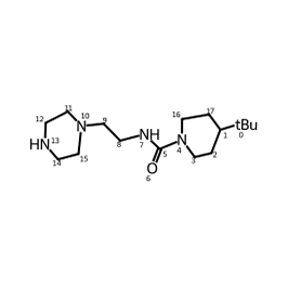 CC(C)(C)C1CCN(C(=O)NCCN2CCNCC2)CC1